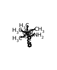 CCCCOC[C@H]1O[C@@H](c2cc(Cc3cc4ccccc4s3)ccc2OCCN)[C@H](OCCCC)[C@@H](OCCCC)[C@@H]1OCCCC